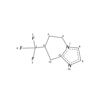 FC(F)(F)C1CCn2ccnc2C1